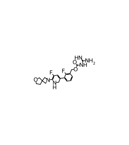 N=C(N)NC(=O)OCc1cccc(C2=CC(F)=C(N3CC4(CCOC4)C3)NC2)c1F